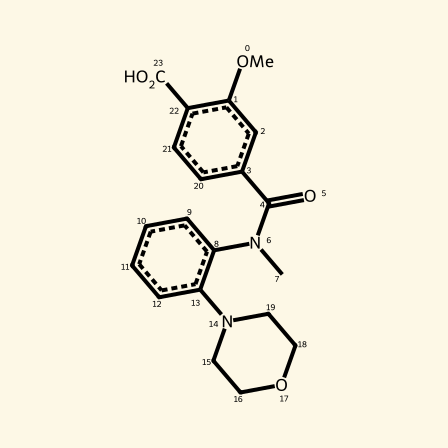 COc1cc(C(=O)N(C)c2ccccc2N2CCOCC2)ccc1C(=O)O